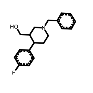 OCC1CN(Cc2ccccc2)CCC1c1ccc(F)cc1